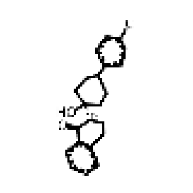 O=C1c2ccccc2CC[C@H]1C1(O)CCC(c2ccc(Cl)cc2)CC1